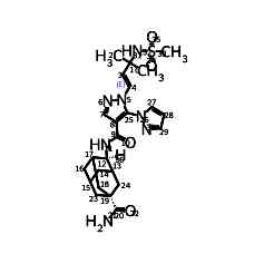 CC(C)(/C=C/n1ncc(C(=O)N[C@H]2C3CC4CC2C[C@](C(N)=O)(C4)C3)c1-n1cccn1)NS(C)(=O)=O